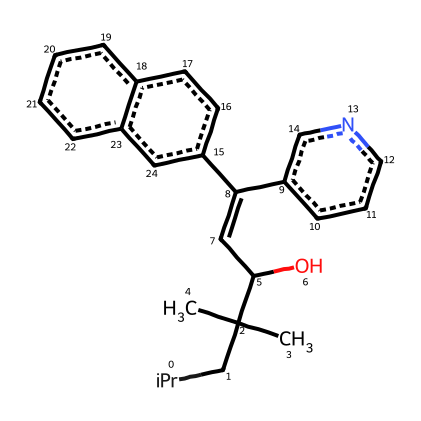 CC(C)CC(C)(C)C(O)C=C(c1cccnc1)c1ccc2ccccc2c1